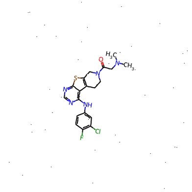 CN(C)CC(=O)N1CCc2c(sc3ncnc(Nc4ccc(F)c(Cl)c4)c23)C1